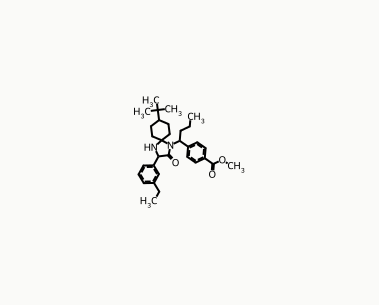 CCCC(c1ccc(C(=O)OC)cc1)N1C(=O)C(c2cccc(CC)c2)NC12CCC(C(C)(C)C)CC2